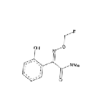 CNC(=O)C(=NOCF)c1ccccc1O